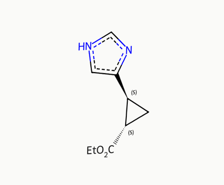 CCOC(=O)[C@H]1C[C@@H]1c1c[nH]cn1